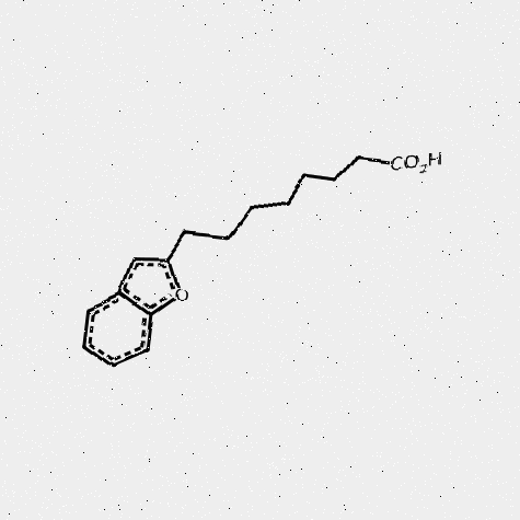 O=C(O)CCCCCCCc1cc2ccccc2o1